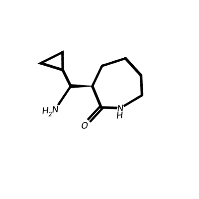 NC(C1CC1)[C@H]1CCCCNC1=O